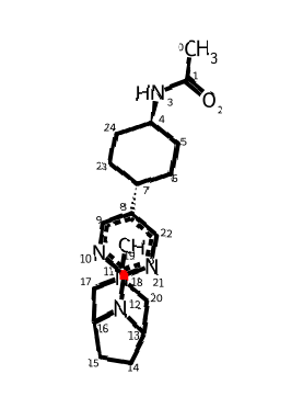 CC(=O)N[C@H]1CC[C@H](c2cnc(N3C4CCC3CN(C)C4)nc2)CC1